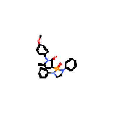 C=C1CC(P2(=O)N(c3ccccc3)CCN2c2ccccc2)C(=O)N1c1ccc(OC)cc1